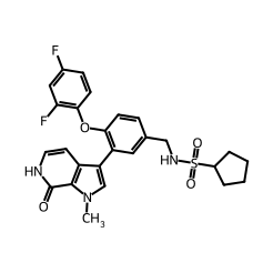 Cn1cc(-c2cc(CNS(=O)(=O)C3CCCC3)ccc2Oc2ccc(F)cc2F)c2cc[nH]c(=O)c21